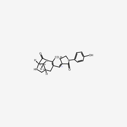 O=C(O)C1=C(/C=C2\CCN(c3ccc(O)cc3)C2=O)C[C@@H]2CN[C@@H]3C(=O)N1[C@H]23